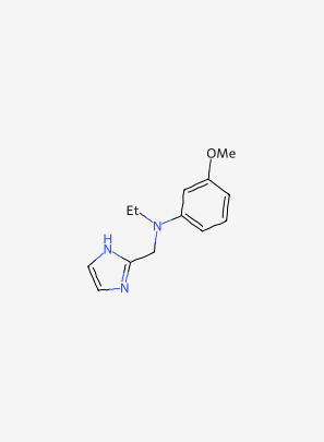 CCN(Cc1ncc[nH]1)c1cccc(OC)c1